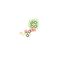 Fc1c(F)c(F)c([B-](c2c(F)c(F)c(F)c(F)c2F)(c2c(F)c(F)c(F)c(F)c2F)c2c(F)c(F)c(F)c(F)c2F)c(F)c1F.O=C([SH2+])C1c2ccccc2Sc2cc(O)ccc21